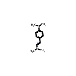 CN(C)/C=C/c1ccc(N(C)C)cc1